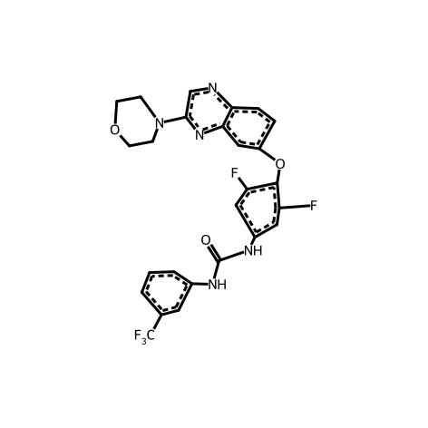 O=C(Nc1cccc(C(F)(F)F)c1)Nc1cc(F)c(Oc2ccc3ncc(N4CCOCC4)nc3c2)c(F)c1